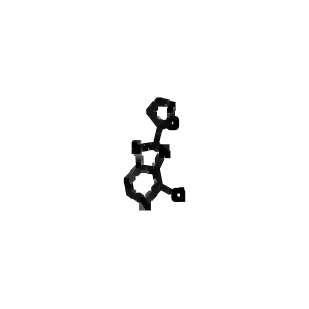 Clc1nccc2sc(-c3ccco3)nc12